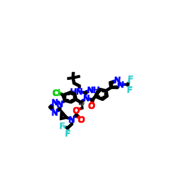 CC(C)(C)CCNC(=N)N(C(=O)c1ccc(-c2cnn(C(F)F)c2)cc1)[C@H](COC(=O)N(CC(F)F)C1CC1)c1ccc(Cl)c(-n2cncn2)c1